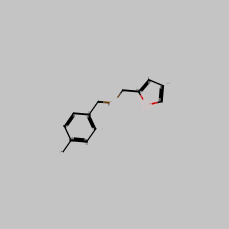 Cc1ccc(CSCc2ccco2)cc1